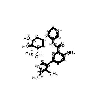 Cc1c(-c2ccc(N)c(C(=O)Nc3cnccc3[C@H]3C[C@@H](O)[C@](C)(O)[C@@H](C)C3)n2)cnn1C